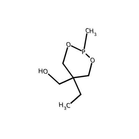 CCC1(CO)COP(C)OC1